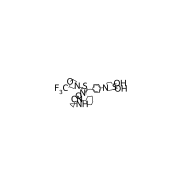 N#CC1(NC(=O)[C@@H]2CCCC[C@H]2c2nc(N3CCO[C@@H](C(F)(F)F)C3)sc2-c2ccc(N3CCS(O)(O)CC3)cc2)CC1